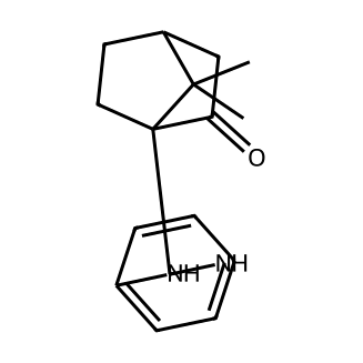 CC1(C)C2CCC1(C1Nc3ccc(cc3)N1)C(=O)C2